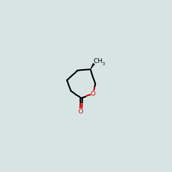 C[C@@H]1CCCC(=O)OC1